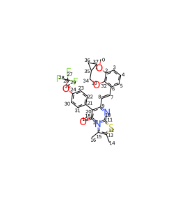 COc1cccc(/C=C/c2nc3sc(C)c(C)n3c(=O)c2-c2ccc(OC(F)(F)F)cc2)c1OCC1CC1